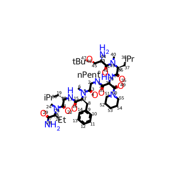 CCCCCN(CC(=O)N(C)[C@@H](Cc1ccccc1)C(=O)N[C@@H](CC(C)C)C(=O)N(C)[C@@H](CC)C(N)=O)C(=O)C(NC(=O)[C@H](CC(C)C)N(C)C(=O)[C@@H](N)COC(C)(C)C)C(=O)N1CCCCC1